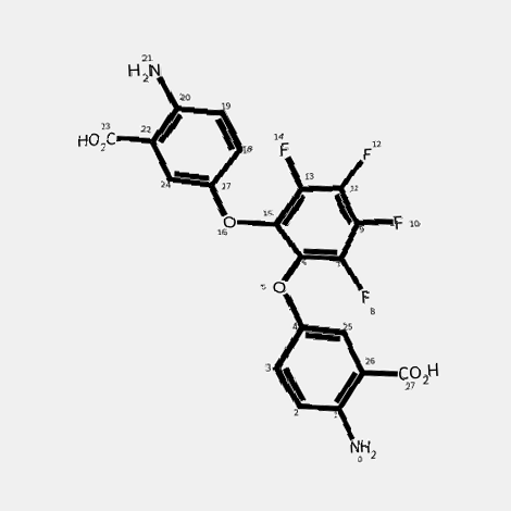 Nc1ccc(Oc2c(F)c(F)c(F)c(F)c2Oc2ccc(N)c(C(=O)O)c2)cc1C(=O)O